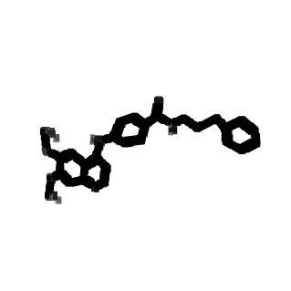 COc1cc2nccc(Nc3ccc(C(=O)NCCCc4ccccc4)cc3)c2cc1OC